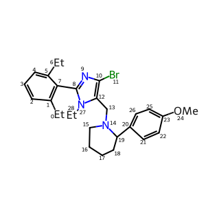 CCc1cccc(CC)c1-c1nc(Br)c(CN2CCCCC2c2ccc(OC)cc2)n1CC